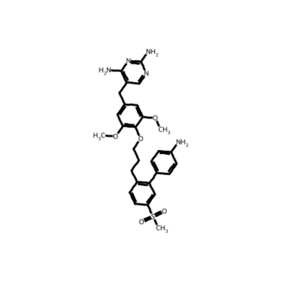 COc1cc(Cc2cnc(N)nc2N)cc(OC)c1OCCCc1ccc(S(C)(=O)=O)cc1-c1ccc(N)cc1